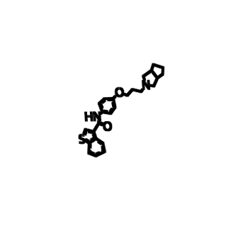 O=C(Nc1ccc(OCCCN2CC3CCCC3C2)cc1)c1csc2ccccc12